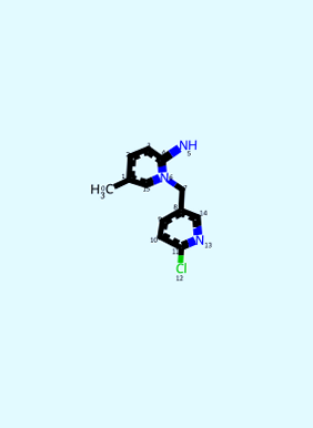 Cc1ccc(=N)n(Cc2ccc(Cl)nc2)c1